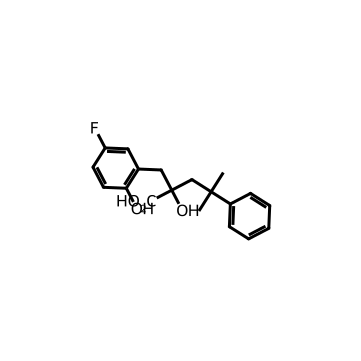 CC(C)(CC(O)(Cc1cc(F)ccc1O)C(=O)O)c1ccccc1